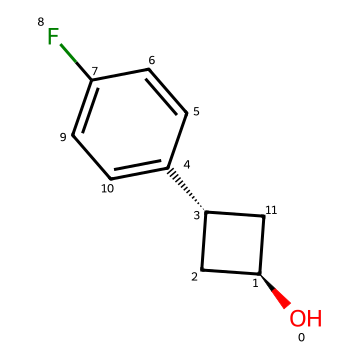 O[C@H]1C[C@H](c2ccc(F)cc2)C1